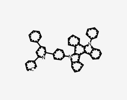 c1ccc(-c2cc(-c3ccccc3)nc(-c3ccc(-n4c5ccccc5c5c6c7ccccc7n(-c7ccccc7)c6c6ccccc6c54)cc3)c2)cc1